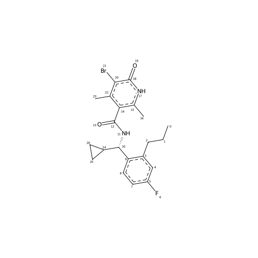 CCCc1cc(F)ccc1[C@@H](NC(=O)c1c(C)[nH]c(=O)c(Br)c1C)C1CC1